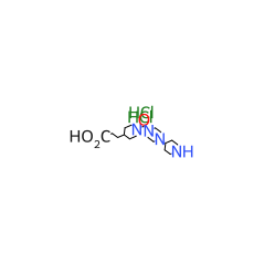 Cl.Cl.O=C(O)CCC1CCN(C(=O)N2CCN(C3CCNCC3)CC2)CC1